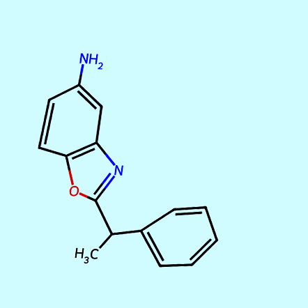 CC(c1ccccc1)c1nc2cc(N)ccc2o1